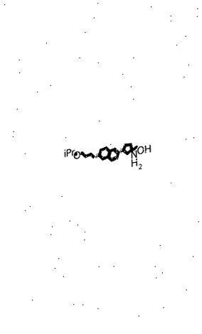 CC(C)OCCCC[C@@H]1CCc2cc([C@H]3CC[C@@](N)(CO)C3)ccc2C1